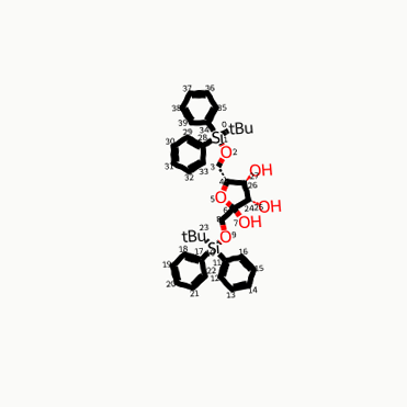 CC(C)(C)[Si](OC[C@H]1OC(O)(CO[Si](c2ccccc2)(c2ccccc2)C(C)(C)C)[C@@H](O)[C@H]1O)(c1ccccc1)c1ccccc1